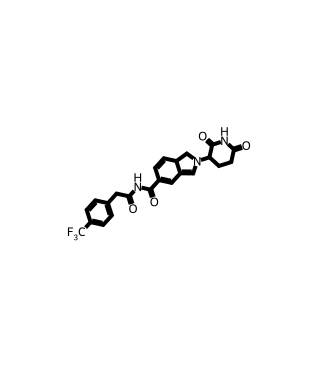 O=C(Cc1ccc(C(F)(F)F)cc1)NC(=O)C1=CC2=CN(C3CCC(=O)NC3=O)CC2C=C1